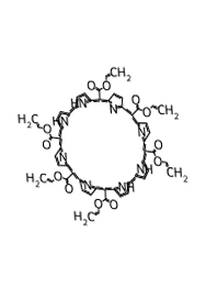 C=COC(=O)c1c2nc(c(C(=O)OC=C)c3ccc([nH]3)c3ccc([nH]3)c(C(=O)OC=C)c3nc(c(C(=O)OC=C)c4nc(c(C(=O)OC=C)c5ccc([nH]5)c5ccc([nH]5)c(C(=O)OC=C)c5nc1C=C5)C=C4)C=C3)C=C2